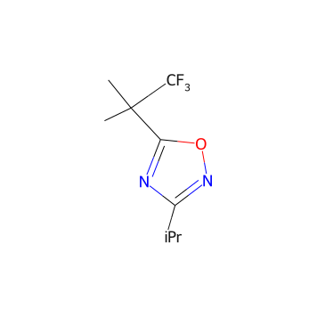 CC(C)c1noc(C(C)(C)C(F)(F)F)n1